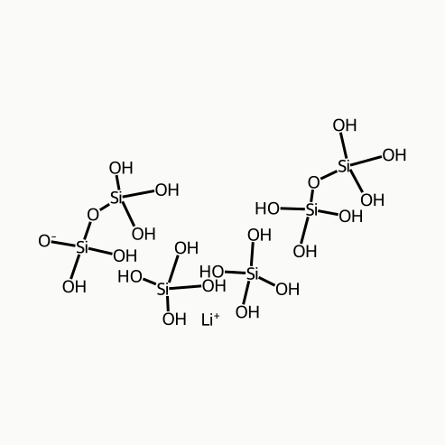 O[Si](O)(O)O.O[Si](O)(O)O.O[Si](O)(O)O[Si](O)(O)O.[Li+].[O-][Si](O)(O)O[Si](O)(O)O